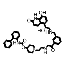 O=C(Nc1ccccc1-c1ccccc1)OC1CCN(CCNCC(=O)c2cccc(CNC[C@@H](O)c3ccc(O)c4[nH]c(=O)ccc34)c2)CC1